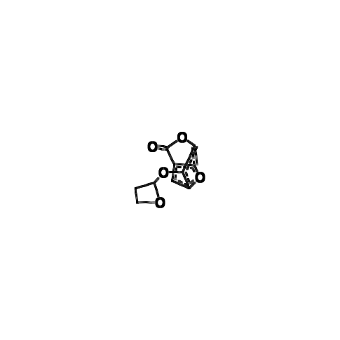 O=C1Oc2c(OC3CCO3)c3cc1c2o3